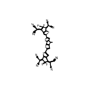 CC1c2cc(-c3cc4c(s3)C(=C(C#N)C#N)C(F)(F)C4=C(C#N)C#N)sc2-c2sc(-c3cc4c(s3)C(=C(C#N)C#N)C(F)(F)C4=C(C#N)C#N)cc21